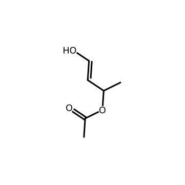 CC(=O)OC(C)C=CO